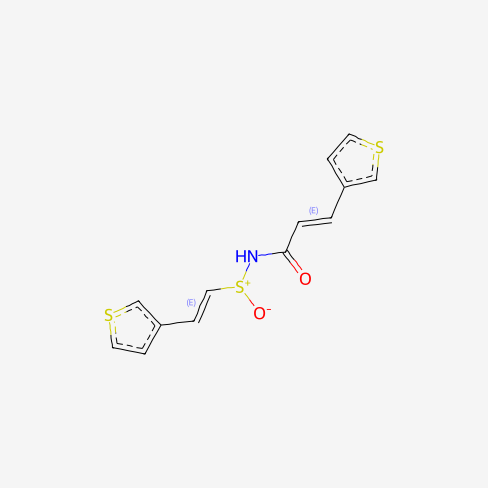 O=C(/C=C/c1ccsc1)N[S+]([O-])/C=C/c1ccsc1